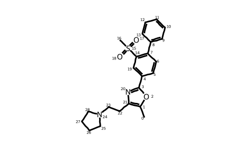 Cc1oc(-c2ccc(-c3ccccc3)c(S(C)(=O)=O)c2)nc1CCN1CCCC1